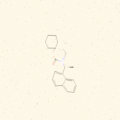 C[C@@H](c1cccc2ccccc12)N1CC[C@]2(CC[C@@H](O)CC2)OC1=O